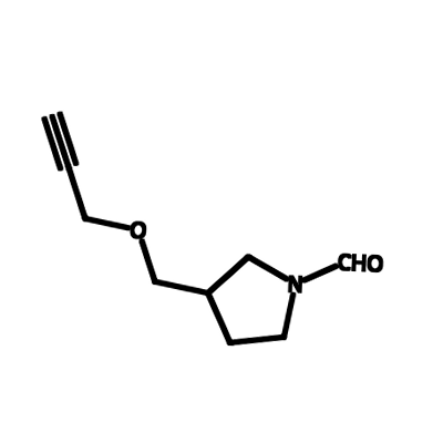 C#CCOCC1CCN(C=O)C1